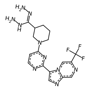 N/N=C(\NN)C1CCCN(c2ccnc(-c3cnc4cnc(C(F)(F)F)cn34)n2)C1